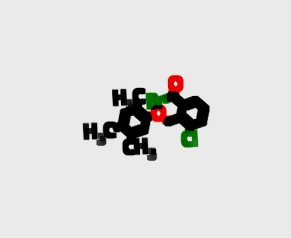 Cc1cc(C)c(OCc2c(Cl)cccc2C(=O)Br)cc1C